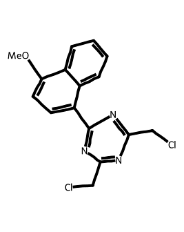 COc1ccc(-c2nc(CCl)nc(CCl)n2)c2ccccc12